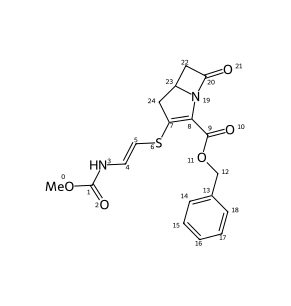 COC(=O)NC=CSC1=C(C(=O)OCc2ccccc2)N2C(=O)CC2C1